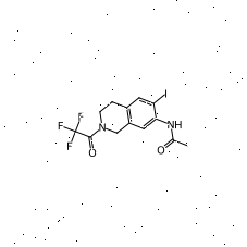 CC(=O)Nc1cc2c(cc1I)CCN(C(=O)C(F)(F)F)C2